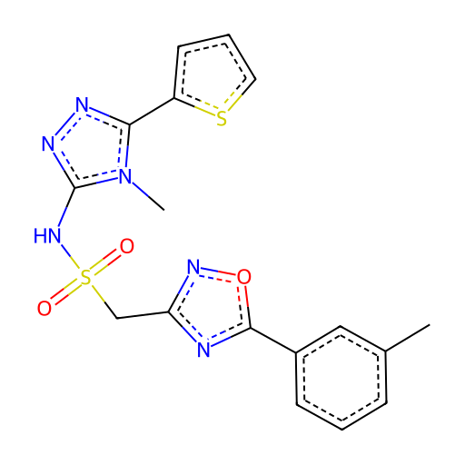 Cc1cccc(-c2nc(CS(=O)(=O)Nc3nnc(-c4cccs4)n3C)no2)c1